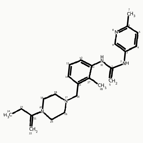 C=C(Nc1ccc(C)nc1)Nc1cccc(CN2CCN(C(=C)CC)CC2)c1C